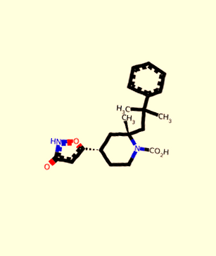 CC(C)(C[C@@]1(C)C[C@@H](c2cc(=O)[nH]o2)CCN1C(=O)O)c1ccccc1